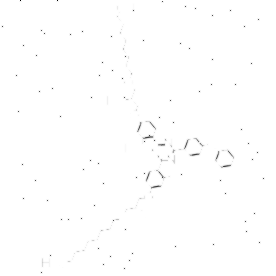 CCCCCCCCCOCC(O)COc1ccc(-c2nc(-c3ccc(Sc4ccccc4)cc3)nc(-c3ccc(OCC(O)COCCCCCCCCC)cc3O)n2)c(O)c1